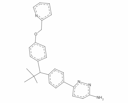 CC(C)(C)C(c1ccc(OCc2ccccn2)cc1)c1ccc(-c2ccc(N)nn2)cc1